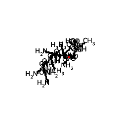 CCCCCN[C@@H](CCC(=O)NC(=O)[C@H](CCCCN)NC(=O)[C@H](CC(=O)NC(=O)[C@H](CCCCN)NC(=O)[C@H](CCC(=O)NC(=O)[C@H](CCCCN)NC(=O)[C@@H](N)CCCCN)NCCCCC)N(CCCCC)CCCCC)C(=O)N[C@@H](CC(C)C)C(=O)O